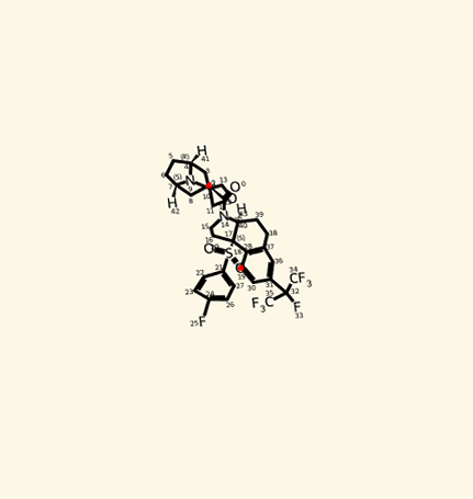 O=C([C@@H]1C[C@H]2CC[C@@H](C1)N2C1COC1)N1CC[C@]2(S(=O)(=O)c3ccc(F)cc3)c3ccc(C(F)(C(F)(F)F)C(F)(F)F)cc3CC[C@H]12